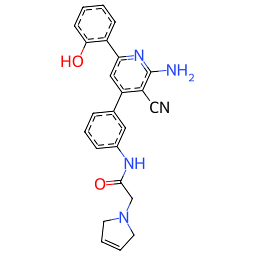 N#Cc1c(-c2cccc(NC(=O)CN3CC=CC3)c2)cc(-c2ccccc2O)nc1N